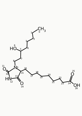 CCCCCC(O)CCN1C(=O)NC(=O)C1CCCCCCCCC(=O)O